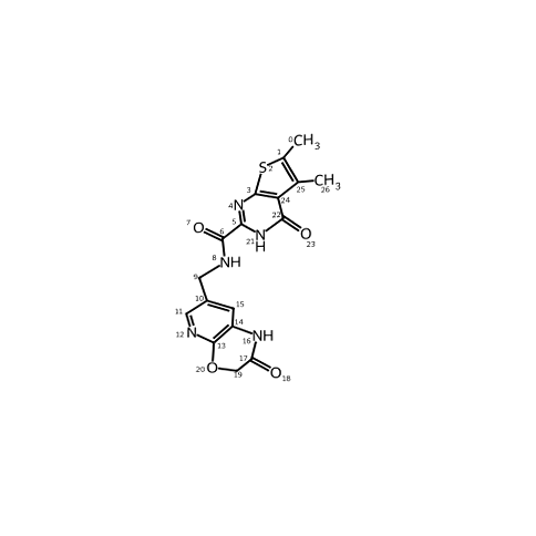 Cc1sc2nc(C(=O)NCc3cnc4c(c3)NC(=O)CO4)[nH]c(=O)c2c1C